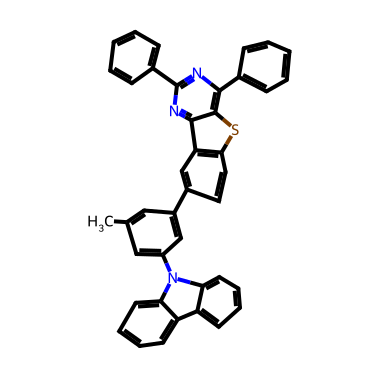 Cc1cc(-c2ccc3sc4c(-c5ccccc5)nc(-c5ccccc5)nc4c3c2)cc(-n2c3ccccc3c3ccccc32)c1